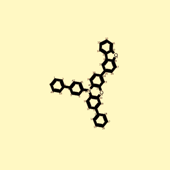 c1ccc(-c2ccc(N3c4ccc(-c5ccccc5)cc4Oc4cc(-c5ccc6oc7ccccc7c6c5)ccc43)cc2)cc1